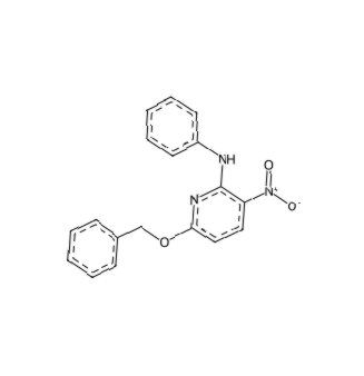 O=[N+]([O-])c1ccc(OCc2ccccc2)nc1Nc1ccccc1